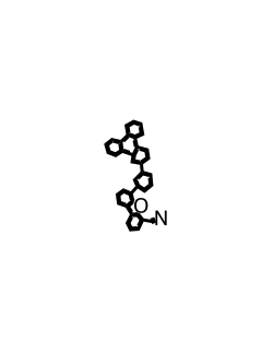 N#Cc1cccc2c1oc1c(-c3cccc(-c4ccc5c6ccccc6c6ccccc6c5c4)c3)cccc12